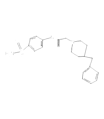 NS(=O)(=O)c1ccc(NC(=O)CN2CCC(Cc3ccccc3)CC2)cc1